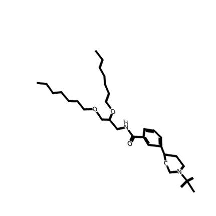 CCCCCCCOCC(CNC(=O)c1cccc(C2CCN(C(C)(C)C)CC2)c1)OCCCCCCC